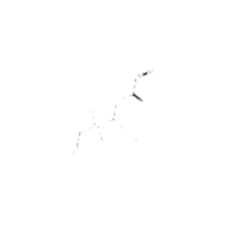 C=CC(=O)OC(C)[N+](C)(C)CCCCCCCC.[Br-]